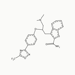 CN(C)CC(Cc1c(C(N)=O)oc2ccccc12)Oc1ccc(-c2noc(C(F)(F)F)n2)cc1